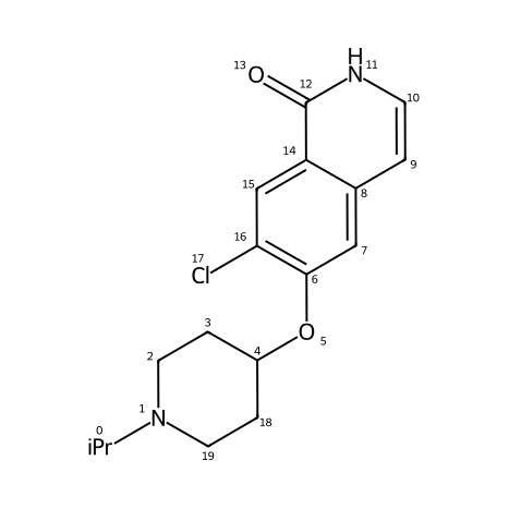 CC(C)N1CCC(Oc2cc3cc[nH]c(=O)c3cc2Cl)CC1